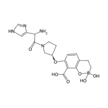 NC(C(=O)N1CC[C@@H](Oc2ccc3c(c2C(=O)O)O[B-](O)(O)CC3)C1)c1c[nH]cn1